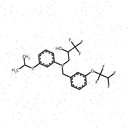 CC(C)Sc1cccc(N(Cc2cccc(OC(F)(F)C(F)F)c2)CC(O)C(F)(F)F)c1